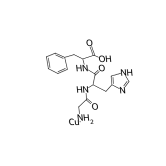 NCC(=O)NC(Cc1c[nH]cn1)C(=O)NC(Cc1ccccc1)C(=O)O.[Cu]